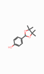 CC1(C)OC(c2ccc(O)cc2)OC1(C)C